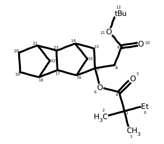 CCC(C)(C)C(=O)OC1(CC(=O)OC(C)(C)C)CC2CC1C1C3CCC(C3)C21